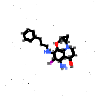 COc1c(NCCCc2ccccc2)c(I)c(N)c2c(=O)ccn(C3CC3)c12